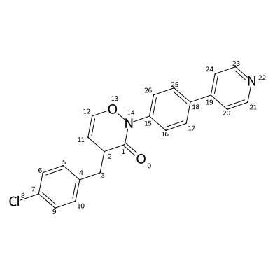 O=C1C(Cc2ccc(Cl)cc2)C=CON1c1ccc(-c2ccncc2)cc1